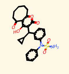 NS(=O)(=O)N(c1ccccc1)c1cccc(C(c2c(O)c3c(oc2=O)CCCCCC3=O)C2CC2)c1